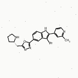 Cc1cc(-c2[nH]c3ccc(-c4nnc(C[C@@H]5CCCN5)o4)cc3c2C(C)C)ccn1